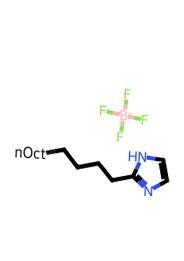 CCCCCCCCCCCCc1ncc[nH]1.F[B-](F)(F)F